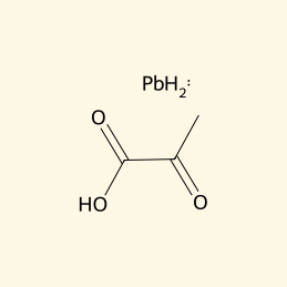 CC(=O)C(=O)O.[PbH2]